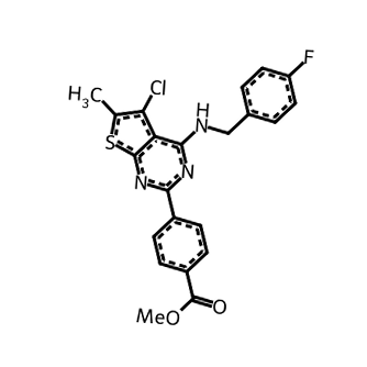 COC(=O)c1ccc(-c2nc(NCc3ccc(F)cc3)c3c(Cl)c(C)sc3n2)cc1